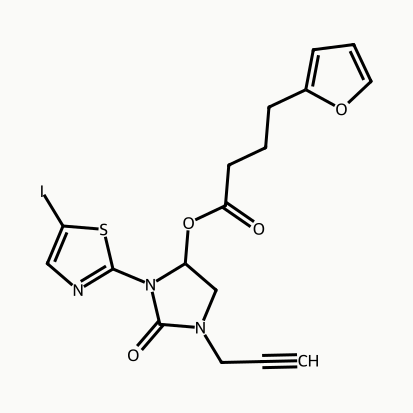 C#CCN1CC(OC(=O)CCCc2ccco2)N(c2ncc(I)s2)C1=O